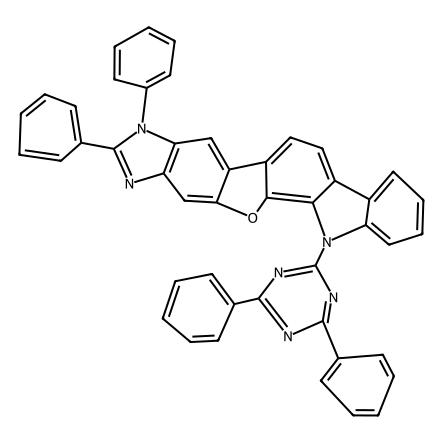 c1ccc(-c2nc(-c3ccccc3)nc(-n3c4ccccc4c4ccc5c6cc7c(cc6oc5c43)nc(-c3ccccc3)n7-c3ccccc3)n2)cc1